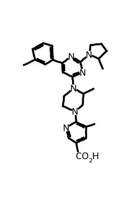 Cc1cccc(-c2cc(N3CCN(c4ncc(C(=O)O)cc4C)CC3C)nc(N3CCCC3C)n2)c1